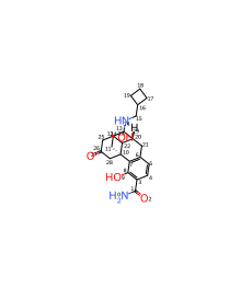 NC(=O)c1ccc2c(c1O)[C@]13CCC(NCC4CCC4)[C@H](C2)[C@]1(O)CCC(=O)C3